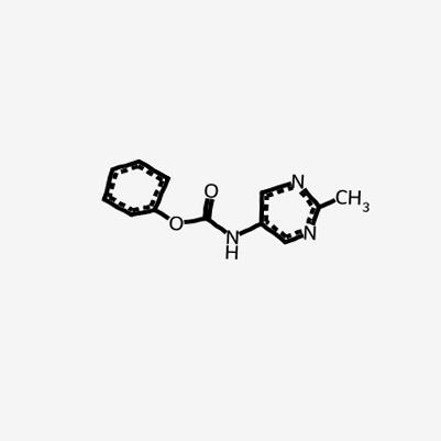 Cc1ncc(NC(=O)Oc2ccccc2)cn1